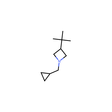 CC(C)(C)C1CN(CC2CC2)C1